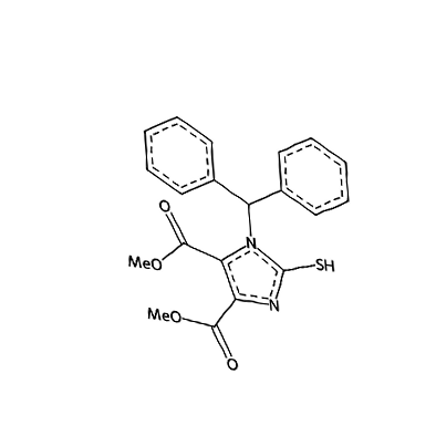 COC(=O)c1nc(S)n(C(c2ccccc2)c2ccccc2)c1C(=O)OC